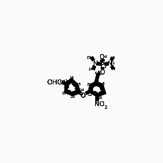 CN(C)P(=O)(OCc1ccc([N+](=O)[O-])c(Oc2ccc(C=O)cc2)c1)N(C)C